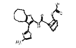 Cc1csc(-c2c(NC(=O)C3=C(OC(=O)O)C4CCC3CC4)sc3c2CCCCC3)n1